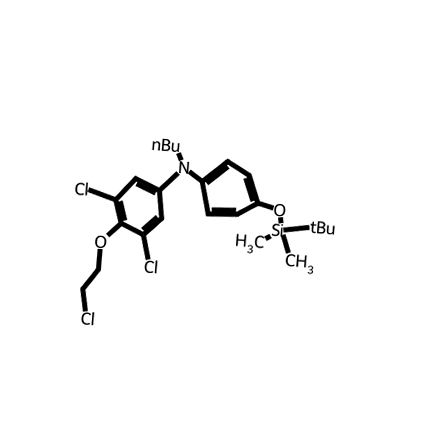 CCCCN(c1ccc(O[Si](C)(C)C(C)(C)C)cc1)c1cc(Cl)c(OCCCl)c(Cl)c1